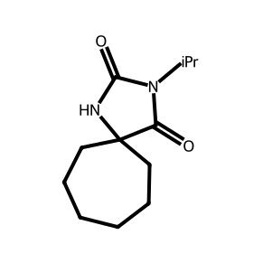 CC(C)N1C(=O)NC2(CCCCCC2)C1=O